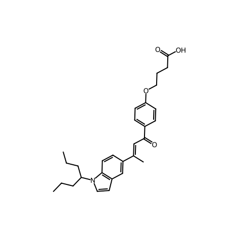 CCCC(CCC)n1ccc2cc(/C(C)=C/C(=O)c3ccc(OCCCC(=O)O)cc3)ccc21